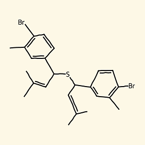 CC(C)=CC(SC(C=C(C)C)c1ccc(Br)c(C)c1)c1ccc(Br)c(C)c1